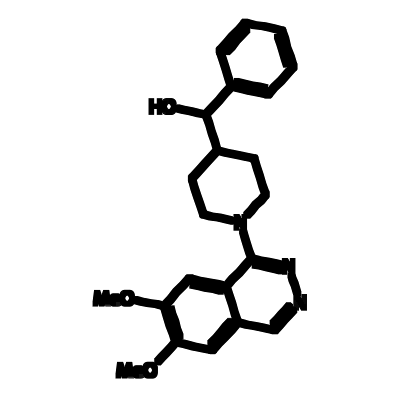 COc1cc2cnnc(N3CCC(C(O)c4ccccc4)CC3)c2cc1OC